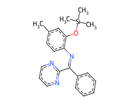 Cc1ccc(N=C(c2ccccc2)c2ncccn2)c(O[Si](C)(C)C)c1